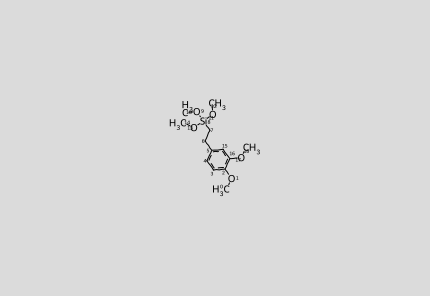 COc1ccc(CC[Si](OC)(OC)OC)cc1OC